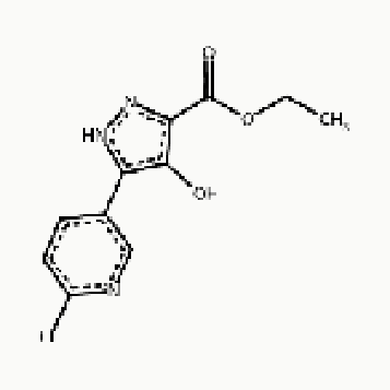 CCOC(=O)c1n[nH]c(-c2ccc(Cl)nc2)c1O